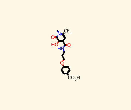 Cn1c(C(F)(F)F)cc(C(=O)NCCCOc2ccc(C(=O)O)cc2)c(O)c1=O